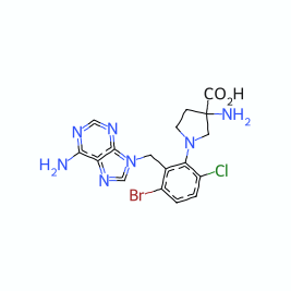 Nc1ncnc2c1ncn2Cc1c(Br)ccc(Cl)c1N1CCC(N)(C(=O)O)C1